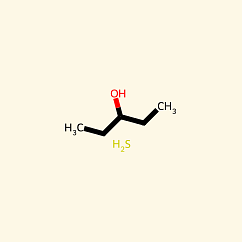 CCC(O)CC.S